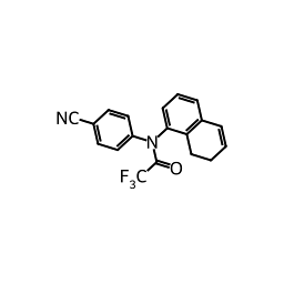 N#Cc1ccc(N(C(=O)C(F)(F)F)c2cccc3c2CCC=C3)cc1